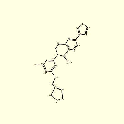 CC1c2cnc(-c3cscn3)nc2CCN1c1cc(F)nc(OCC2CCOC2)c1